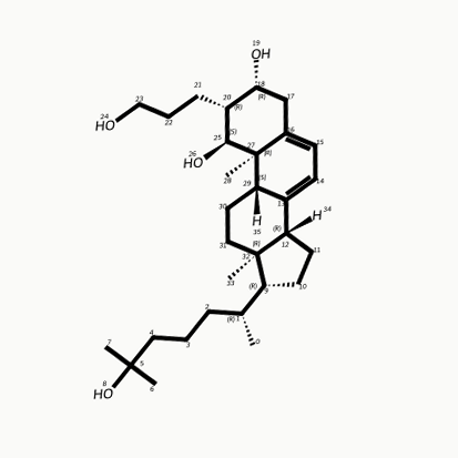 C[C@H](CCCC(C)(C)O)[C@H]1CC[C@H]2C3=CC=C4C[C@@H](O)[C@@H](CCCO)[C@H](O)[C@]4(C)[C@H]3CC[C@]12C